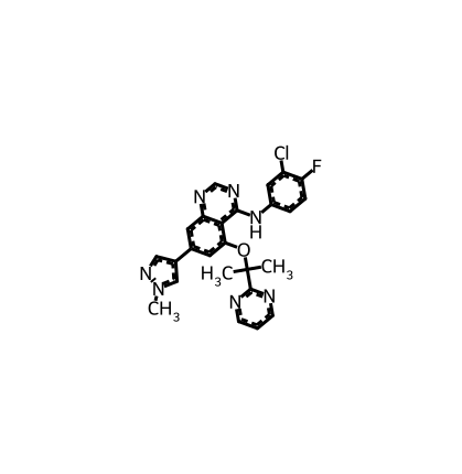 Cn1cc(-c2cc(OC(C)(C)c3ncccn3)c3c(Nc4ccc(F)c(Cl)c4)ncnc3c2)cn1